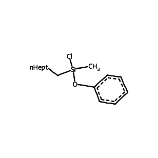 CCCCCCCC[Si](C)(Cl)Oc1ccccc1